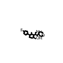 Cc1ccc(-c2ccc(F)cc2)c(C)c1C1CNC2(CCOCC2)C1O